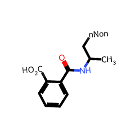 CCCCCCCCCCC(C)NC(=O)c1ccccc1C(=O)O